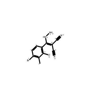 Cc1c(Br)ccc(C(NN)=C(C#N)C#N)c1Cl